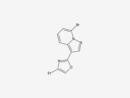 CCc1coc(-c2cnn3c(Br)cccc23)n1